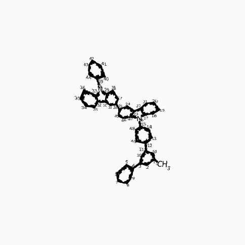 Cc1cc(-c2ccccc2)cc(-c2ccc(-n3c4ccccc4c4cc(-c5ccc6c(c5)c5ccccc5n6-c5ccccc5)ccc43)cc2)c1